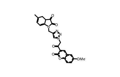 COc1ccc2oc(=O)c(C(=O)Cn3cc(CN4C(=O)C(=O)C5CC(C)=CC=C54)nn3)cc2c1